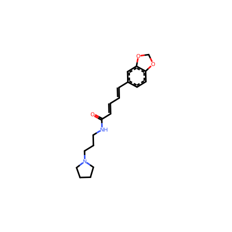 O=C(/C=C/C=C/c1ccc2c(c1)OCO2)NCCCN1CCCC1